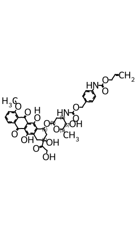 C=CCOC(=O)Nc1ccc(COC(=O)N[C@H]2C[C@H](O[C@H]3C[C@](O)(C(=O)CO)Cc4c(O)c5c(c(O)c43)C(=O)c3c(OC)cccc3C5=O)O[C@@H](C)[C@H]2O)cc1